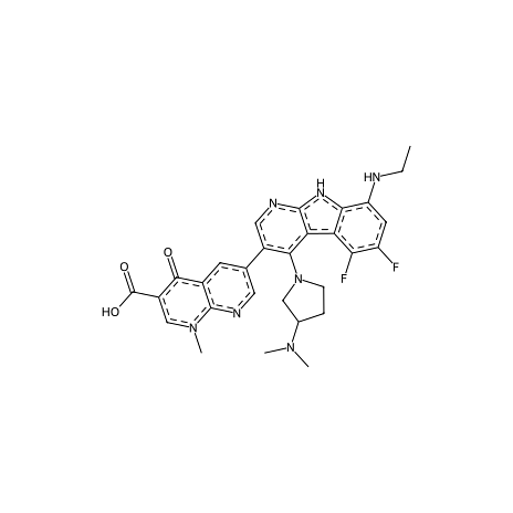 CCNc1cc(F)c(F)c2c1[nH]c1ncc(-c3cnc4c(c3)c(=O)c(C(=O)O)cn4C)c(N3CCC(N(C)C)C3)c12